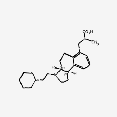 CN(Cc1cccc2c1CC[C@@H]1[C@@H]2CCN1CCC1CCCCC1)C(=O)O